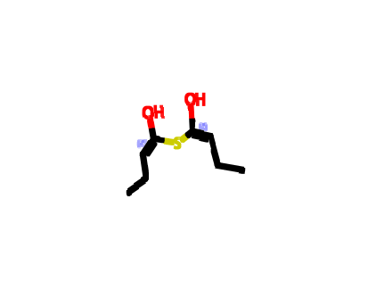 CC/C=C(/O)S/C(O)=C\CC